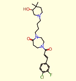 CC1(C)CCN(CCCCN2CCN(C(=O)/C=C/c3ccc(Cl)c(F)c3)CCC2=O)CC1O